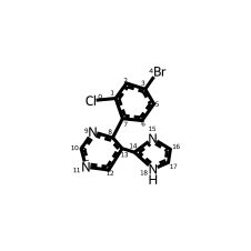 Clc1cc(Br)ccc1-c1n[c]ncc1-c1ncc[nH]1